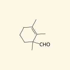 CC1=C(C)C(C)(C=O)CCC1